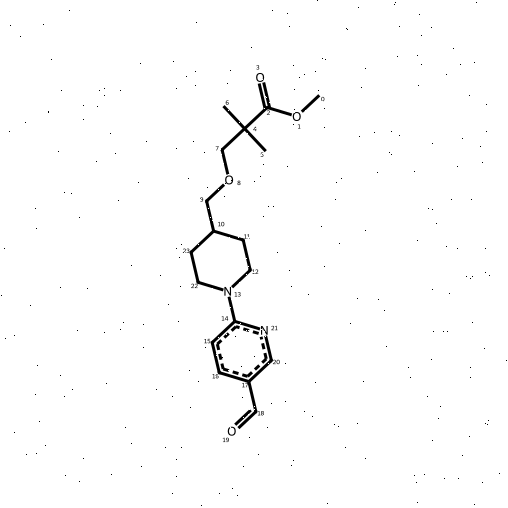 COC(=O)C(C)(C)COCC1CCN(c2ccc(C=O)cn2)CC1